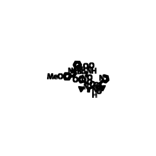 C=C(C(=O)NS(=O)(=O)C1(Cc2ccccn2)CC1)N(C(=O)C1CC(Oc2cc(-c3ccccc3)nc3cc(OC)ccc23)CN1C(=O)C(NC(=O)OC(C)(C)C)C(C)(C)C)C1CC1